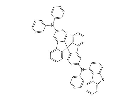 c1ccc(N(c2ccccc2)c2ccc3c(c2)-c2ccccc2C32c3ccccc3-c3cc(N(c4ccccc4)c4cccc5sc6ccccc6c45)ccc32)cc1